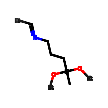 CCC=NCCC[Si](C)(OCC)OCC